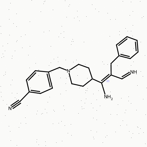 N#Cc1ccc(CN2CCC(/C(N)=C(/C=N)Cc3ccccc3)CC2)cc1